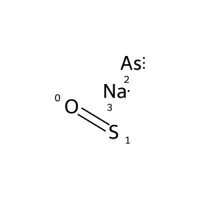 O=S.[As].[Na]